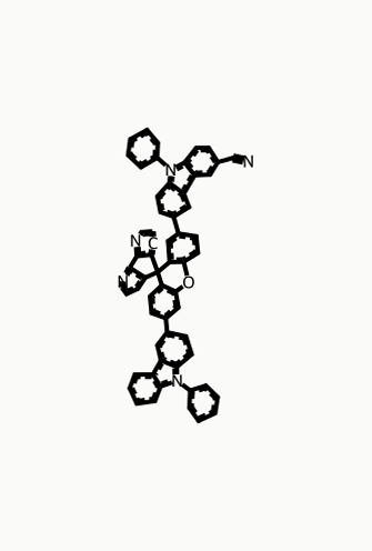 N#Cc1ccc2c(c1)c1cc(-c3ccc4c(c3)C3(c5ccc(-c6ccc7c(c6)c6ccccc6n7-c6ccccc6)cc5O4)c4cccnc4-c4ncccc43)ccc1n2-c1ccccc1